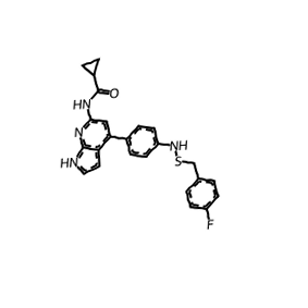 O=C(Nc1cc(-c2ccc(NSCc3ccc(F)cc3)cc2)c2cc[nH]c2n1)C1CC1